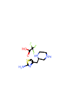 Nc1nc(CC2CNCCN2)cs1.O=C(O)C(F)(F)F